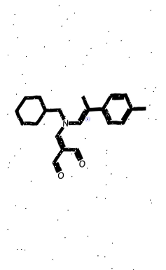 C/C(=C\N(C=C(C=O)C=O)CC1CCCCC1)c1ccc(C)cc1